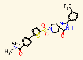 CN(C)C(=O)c1ccc(-c2ccc(S(=O)(=O)N3CCC4(CC3)N=C(c3cccc(C(F)(F)F)c3)NC4=O)s2)cc1